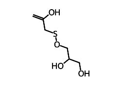 C=C(O)CSOCC(O)CO